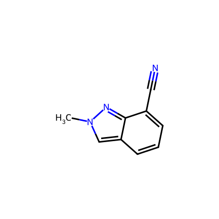 Cn1cc2cccc(C#N)c2n1